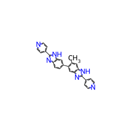 Cc1cc2[nH]c(-c3ccncc3)nc2cc1-c1ccc2nc(-c3ccncc3)[nH]c2c1